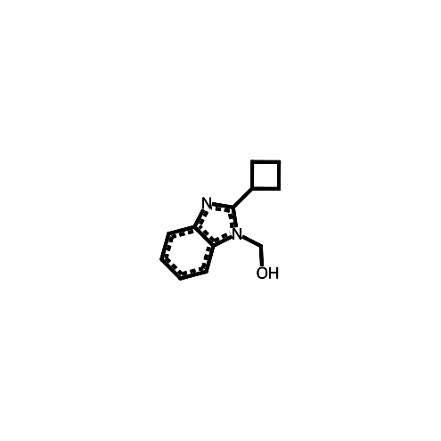 OCn1c(C2CCC2)nc2ccccc21